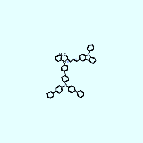 C=C/C(=C\C=C\c1ccc2c(c1)c1ccccc1n2-c1ccccc1)N(c1ccccc1)c1ccc(-c2ccc(N(c3ccc(-c4ccccc4)cc3)c3ccc(-c4ccccc4)cc3)cc2)cc1